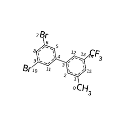 Cc1cc(-c2cc(Br)cc(Br)c2)cc(C(F)(F)F)c1